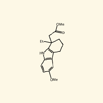 CCC1(CC(=O)OC)CCCc2c1[nH]c1ccc(OC)cc21